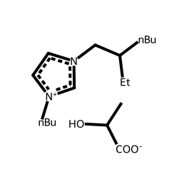 CC(O)C(=O)[O-].CCCCC(CC)Cn1cc[n+](CCCC)c1